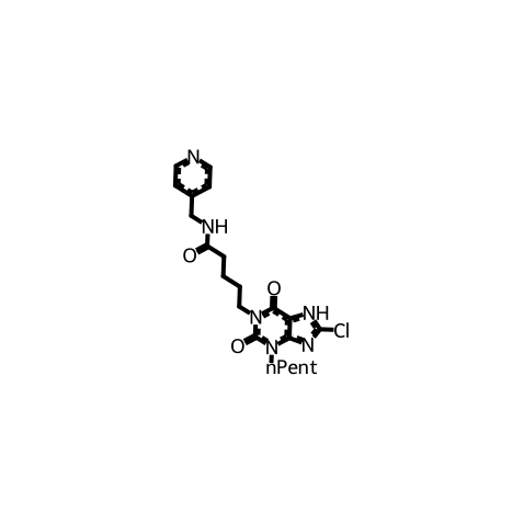 CCCCCn1c(=O)n(CCCCC(=O)NCc2ccncc2)c(=O)c2[nH]c(Cl)nc21